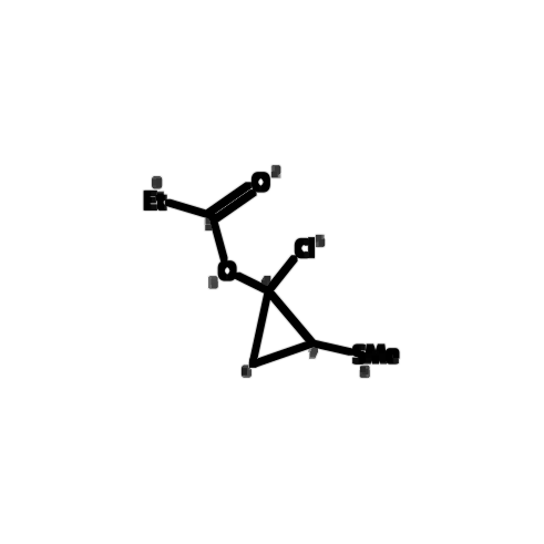 CCC(=O)OC1(Cl)CC1SC